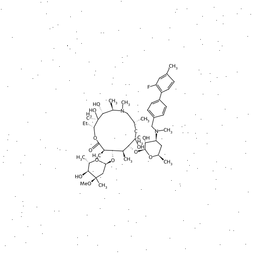 CC[C@H]1OC(=O)[C@H](C)[C@@H](O[C@H]2C[C@@](C)(OC)[C@@H](O)[C@H](C)O2)[C@H](C)[C@@H](O[C@@H]2O[C@H](C)C[C@H](N(C)Cc3ccc(-c4ccc(C)cc4F)cc3)[C@H]2O)[C@](C)(O)C[C@@H](C)CN(C)[C@H](C)[C@@H](O)[C@]1(C)O